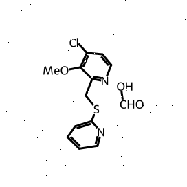 COc1c(Cl)ccnc1CSc1ccccn1.O=CO